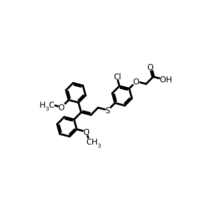 COc1ccccc1C(=CCSc1ccc(OCC(=O)O)c(Cl)c1)c1ccccc1OC